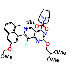 COCOc1cc(-c2ncc3c(N4CC5CCC(C4)N5C(=O)OC(C)(C)C)nc(OCC(OC)OC)nc3c2F)c2c(C)cccc2c1